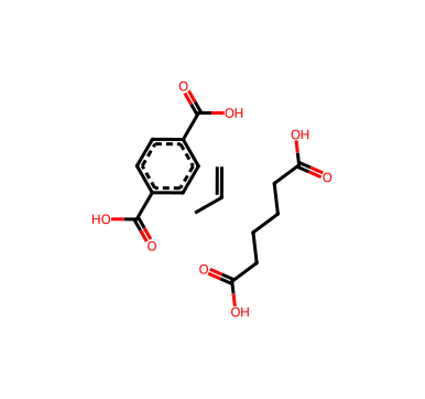 C=CC.O=C(O)CCCCC(=O)O.O=C(O)c1ccc(C(=O)O)cc1